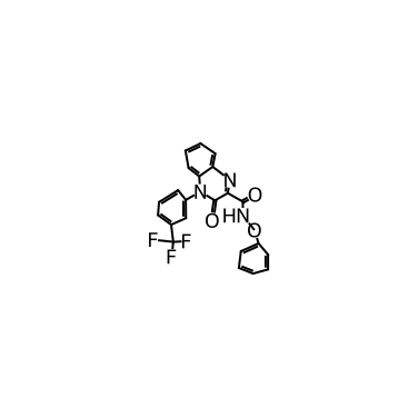 O=C(NOc1ccccc1)c1nc2ccccc2n(-c2cccc(C(F)(F)F)c2)c1=O